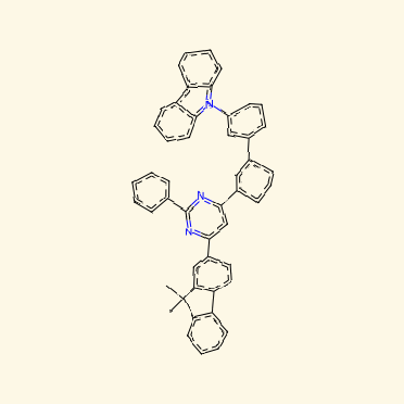 CC1(C)c2ccccc2-c2ccc(-c3cc(-c4cccc(-c5cccc(-n6c7ccccc7c7ccccc76)c5)c4)nc(-c4ccccc4)n3)cc21